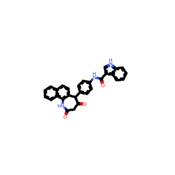 O=C1CC(=O)C(c2ccc(NC(=O)c3c[nH]c4ccccc34)cc2)c2ccc3ccccc3c2N1